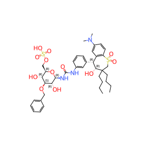 CCCCC1(CCCC)CS(=O)(=O)c2ccc(N(C)C)cc2[C@@H](c2cccc(NC(=O)N[C@@H]3O[C@H](COS(=O)(=O)O)[C@@H](O)[C@H](OCc4ccccc4)[C@H]3O)c2)[C@H]1O